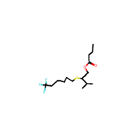 CCCC(=O)OCC(SCCCCCC(F)(F)F)C(C)C